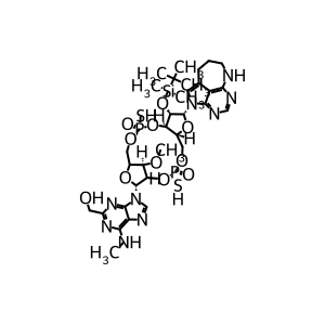 CNc1nc(CO)nc2c1ncn2[C@@H]1OC2COP(=O)(S)O[C@H]3[C@@H](O[Si](C)(C)C(C)(C)C)[C@H](n4cc5c6c(ncnc64)NCCC5)O[C@@H]3COP(=O)(S)O[C@@H]1[C@@H]2OC